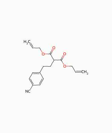 C=CCOC(=O)C(CCc1ccc(C#N)cc1)C(=O)OCC=C